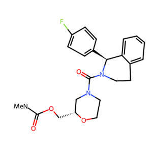 CNC(=O)OC[C@@H]1CN(C(=O)N2CCc3ccccc3[C@@H]2c2ccc(F)cc2)CCO1